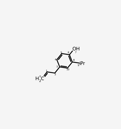 C=CCc1ccc(O)c(C(C)C)c1